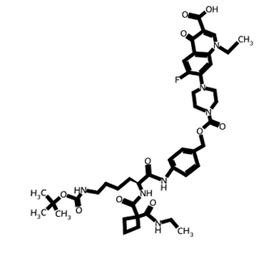 CCNC(=O)C1(C(=O)N[C@@H](CCCCNC(=O)OC(C)(C)C)C(=O)Nc2ccc(COC(=O)N3CCN(c4cc5c(cc4F)c(=O)c(C(=O)O)cn5CC)CC3)cc2)CCC1